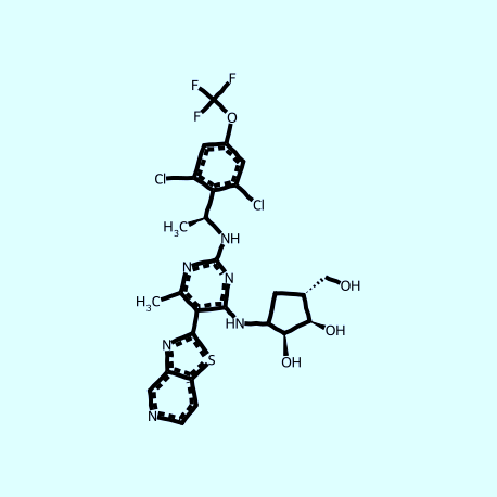 Cc1nc(N[C@@H](C)c2c(Cl)cc(OC(F)(F)F)cc2Cl)nc(NC2C[C@H](CO)[C@@H](O)[C@H]2O)c1-c1nc2cnccc2s1